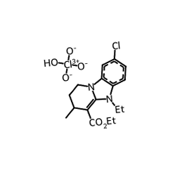 CCOC(=O)C1=C2N(CC)c3ccc(Cl)cc3N2CCC1C.[O-][Cl+3]([O-])([O-])O